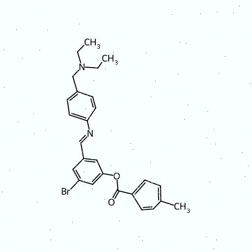 CCN(CC)Cc1ccc(N=Cc2cc(Br)cc(OC(=O)c3ccc(C)cc3)c2)cc1